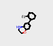 CCc1ccccc1-c1ccc2c(c1)NCCO2